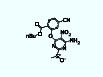 CCCCOC(=O)c1ccc(C#N)cc1Oc1nc([S+](C)[O-])nc(N)c1[N+](=O)[O-]